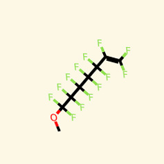 COC(F)(F)C(F)(F)C(F)(F)C(F)(F)C(F)(F)C(F)=C(F)F